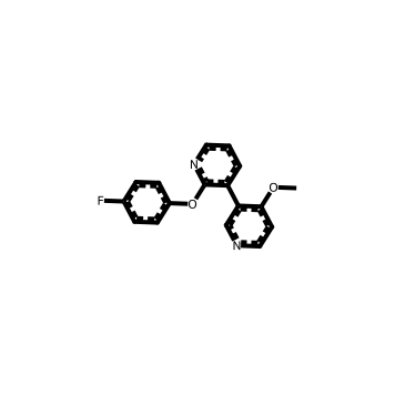 COc1ccncc1-c1cccnc1Oc1ccc(F)cc1